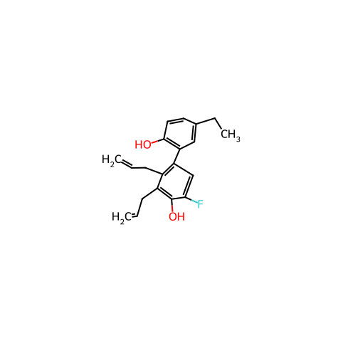 C=CCc1c(-c2cc(CC)ccc2O)cc(F)c(O)c1CC=C